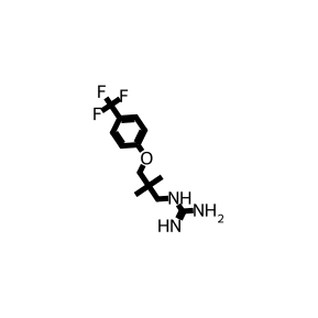 CC(C)(CNC(=N)N)COc1ccc(C(F)(F)F)cc1